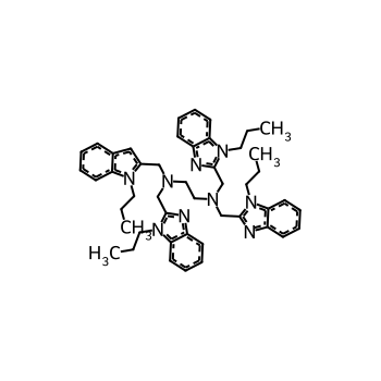 CCCn1c(CN(CCN(Cc2nc3ccccc3n2CCC)Cc2nc3ccccc3n2CCC)Cc2nc3ccccc3n2CCC)cc2ccccc21